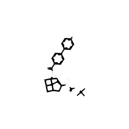 CC(C)(C)OC(=O)NC12CC3CC4CC(NC(=O)c5ccc(-c6ccc(F)cc6)cc5)(C1)C34C2